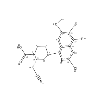 COc1cc2c(N3CCN(C(=O)O)[C@@H](CC#N)C3)nc(Cl)nc2c(F)c1Br